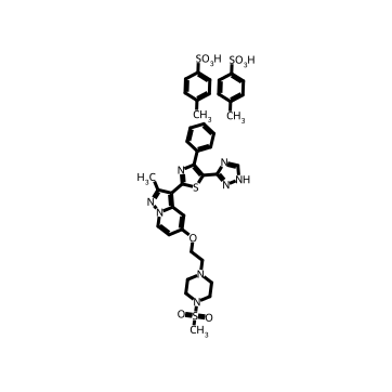 Cc1ccc(S(=O)(=O)O)cc1.Cc1ccc(S(=O)(=O)O)cc1.Cc1nn2ccc(OCCN3CCN(S(C)(=O)=O)CC3)cc2c1-c1nc(-c2ccccc2)c(-c2nc[nH]n2)s1